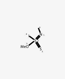 CN=S(=S)(I)OC